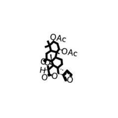 CC(=O)O[C@H]1C[C@@H](OC(C)=O)C(C)(C)C2CC(=O)[C@]3(C)C(CC[C@@]4(C)[C@H](c5ccoc5)OC(=O)[C@H]5O[C@]543)[C@]21C